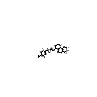 Fc1ccc(CON=CC2CCCC3C2CCC2CCCCC23)cc1